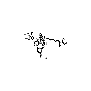 Nc1ccn([C@@H]2O[C@H](COP(=O)(O)O)C(OP(=O)(O)OCCCCCCNC(=O)CI)C2O)c(=O)n1